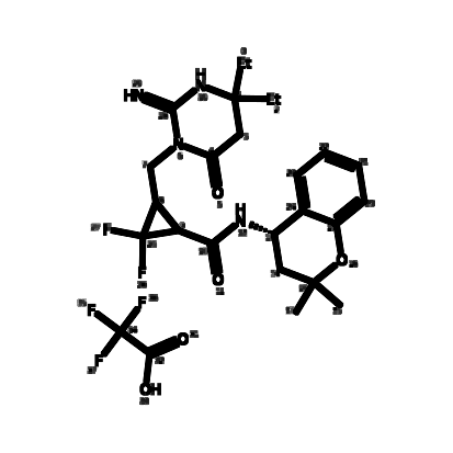 CCC1(CC)CC(=O)N(CC2C(C(=O)N[C@H]3CC(C)(C)Oc4ccccc43)C2(F)F)C(=N)N1.O=C(O)C(F)(F)F